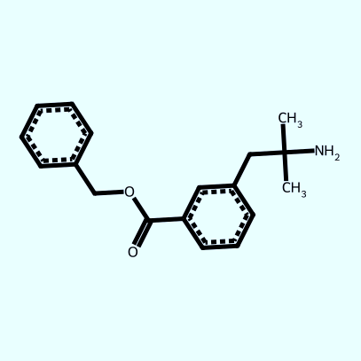 CC(C)(N)Cc1cccc(C(=O)OCc2ccccc2)c1